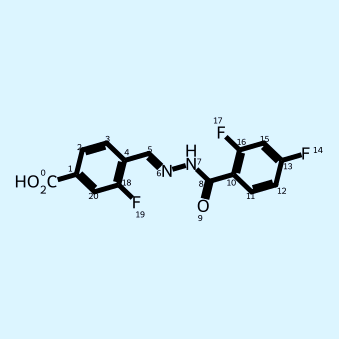 O=C(O)c1ccc(C=NNC(=O)c2ccc(F)cc2F)c(F)c1